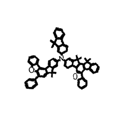 CC1(C)c2ccccc2-c2ccc(N(c3ccc4c(c3)C(C)(C)c3cc(-c5ccccc5)c5oc6ccccc6c5c3-4)c3ccc4c(c3)C(C)(C)c3c5c(c6c(oc7ccccc76)c3-4)-c3ccccc3C5(C)C)cc21